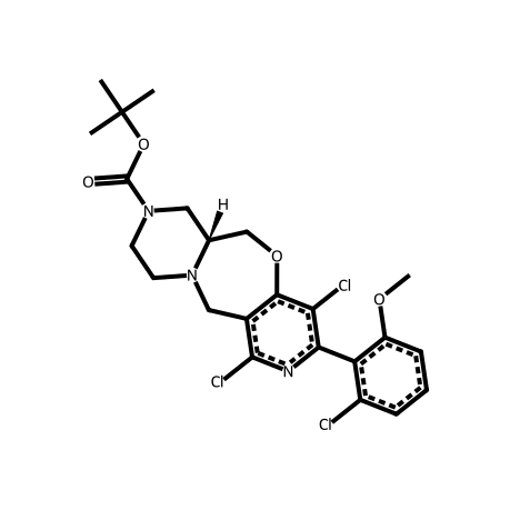 COc1cccc(Cl)c1-c1nc(Cl)c2c(c1Cl)OC[C@H]1CN(C(=O)OC(C)(C)C)CCN1C2